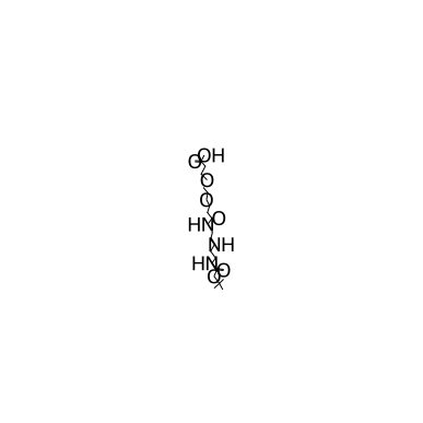 CC(C)(C)OC(=O)NCCNCCNC(=O)CCOCCOCCC(=O)O